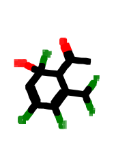 CC(=O)C1C(C(F)F)=C(Cl)C(Cl)=CC1(O)Br